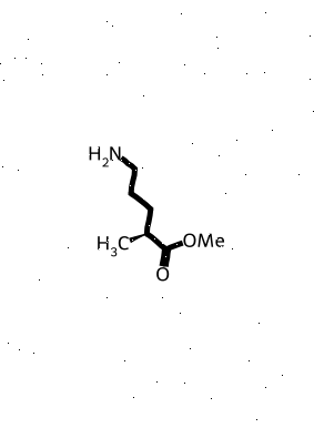 COC(=O)[C@@H](C)CCCN